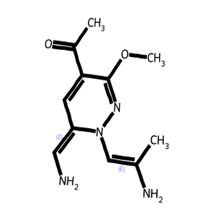 COC1=NN(/C=C(\C)N)/C(=C\N)C=C1C(C)=O